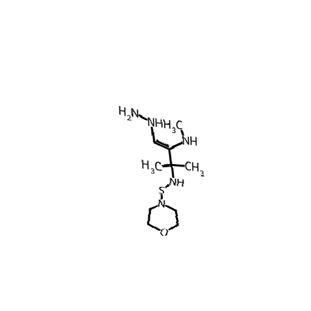 CN/C(=C\NN)C(C)(C)NSN1CCOCC1